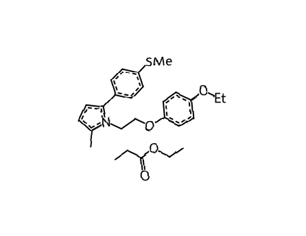 CCOC(=O)CC.CCOc1ccc(OCCn2c(C)ccc2-c2ccc(SC)cc2)cc1